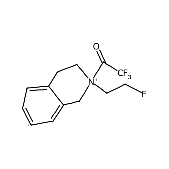 O=C(C(F)(F)F)[N+]1(CCF)CCc2cc[c]cc2C1